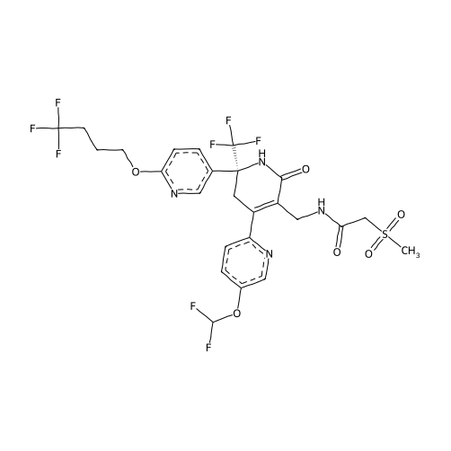 CS(=O)(=O)CC(=O)NCC1=C(c2ccc(OC(F)F)cn2)C[C@](c2ccc(OCCCC(F)(F)F)nc2)(C(F)(F)F)NC1=O